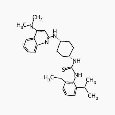 CCc1cccc(C(C)C)c1NC(=S)N[C@H]1CC[C@@H](Nc2cc(N(C)C)c3ccccc3n2)CC1